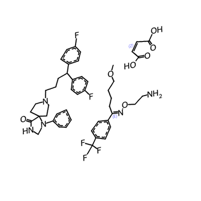 COCCCC/C(=N\OCCN)c1ccc(C(F)(F)F)cc1.O=C(O)/C=C\C(=O)O.O=C1NCN(c2ccccc2)C12CCN(CCCC(c1ccc(F)cc1)c1ccc(F)cc1)CC2